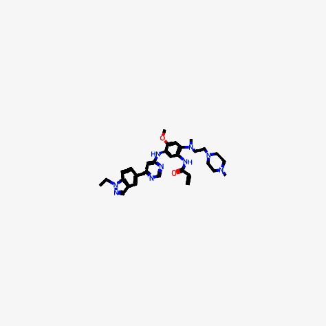 C=CC(=O)Nc1cc(Nc2cc(-c3ccc4c(cnn4CC)c3)ncn2)c(OC)cc1N(C)CCN1CCN(C)CC1